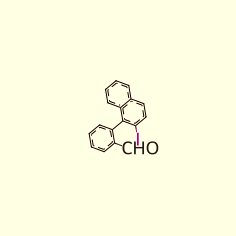 O=Cc1ccccc1-c1c(I)ccc2ccccc12